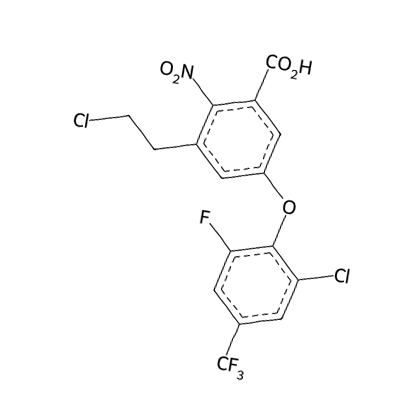 O=C(O)c1cc(Oc2c(F)cc(C(F)(F)F)cc2Cl)cc(CCCl)c1[N+](=O)[O-]